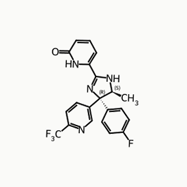 C[C@@H]1NC(c2cccc(=O)[nH]2)=N[C@]1(c1ccc(F)cc1)c1ccc(C(F)(F)F)nc1